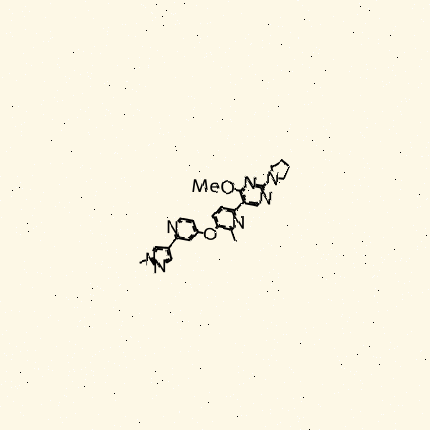 COc1nc(N2CCCC2)ncc1-c1ccc(Oc2ccnc(-c3cnn(C)c3)c2)c(C)n1